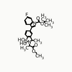 CCOC(=O)C(C)N1C(C)c2cc(-c3cn(C(=O)OC(C)(C)C)c4cc(F)ccc34)ccc2S1(O)O